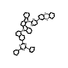 c1ccc(-c2nc(-c3ccccc3)nc(-c3ccc4c(-n5c6ccccc6c6c5ccc5c7ccccc7n(-c7nccc(-c8ccc9c(c8)Sc8ccccc8S9)n7)c56)cccc4c3)n2)cc1